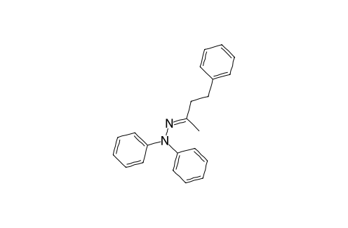 C/C(CCc1ccccc1)=N\N(c1ccccc1)c1ccccc1